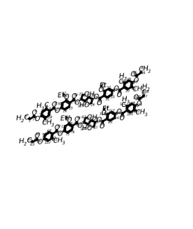 C=CC(=O)Oc1cc(C)c(C(=O)Oc2ccc(C(=O)O[C@H]3CO[C@H]4[C@@H]3OC[C@H]4OC(=O)c3ccc(OC(=O)c4cc(C)c(OC(=O)C=C)cc4C)cc3OCC)c(OCC)c2)cc1C.C=CC(=O)Oc1ccc(C(=O)Oc2ccc(C(=O)O[C@@H]3CO[C@H]4[C@@H]3OC[C@@H]4OC(=O)c3ccc(OC(=O)c4cc(C)c(OC(=O)C=C)cc4C)cc3OCC)c(OCC)c2)c(C)c1